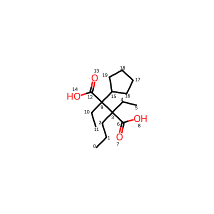 CCCC(CC)(C(=O)O)C(CC)(C(=O)O)C1CCCC1